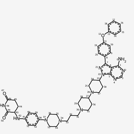 Nc1ncnc2c1c(-c1ccc(Oc3ccccc3)cc1)nn2C1CCN(C2CCN(CCCN3CCN(c4ccc(NC5CCC(=O)NC5=O)cc4)CC3)CC2)CC1